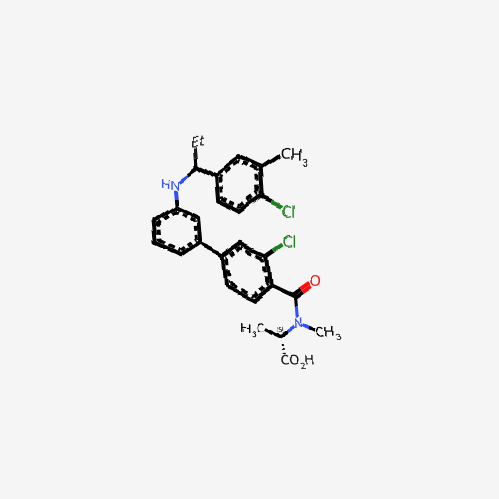 CCC(Nc1cccc(-c2ccc(C(=O)N(C)[C@@H](C)C(=O)O)c(Cl)c2)c1)c1ccc(Cl)c(C)c1